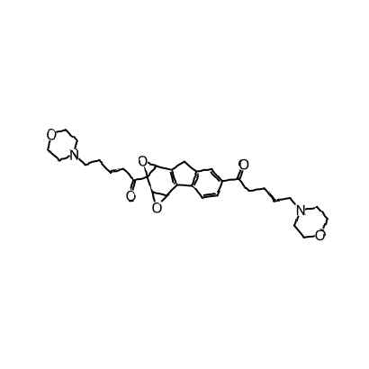 O=C(CCCCN1CCOCC1)c1ccc2c(c1)CC1=C2C2OC2C2(C(=O)CCCCN3CCOCC3)OC12